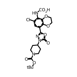 CC(C)(C)OC(=O)N1CCC(n2nc(-c3cc(Cl)c(NC(=O)O)c4c3OCCO4)oc2=O)CC1